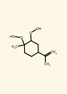 C=C(C)C1CCC(C)(OO)C(OO)C1